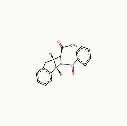 COC(=O)[C@@H]1[C@H]2Cc3ccccc3[C@H]2N1C(=O)c1ccccc1